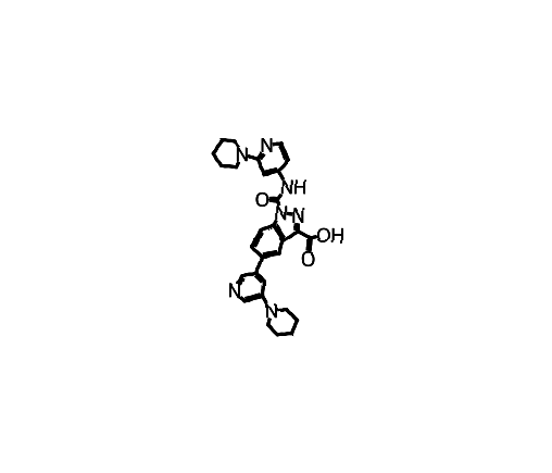 O=C(O)c1nn(C(=O)Nc2ccnc(N3CCCCC3)c2)c2ccc(-c3cncc(N4CCCCC4)c3)cc12